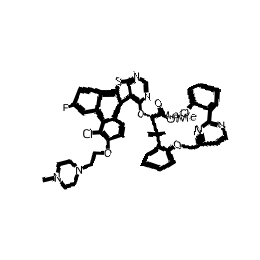 COC(=O)[C@H](Oc1ncnc2sc3c4ccc(F)cc4c4c(Cl)c(OCCN5CCN(C)CC5)ccc4c3c12)C(C)(C)c1ccccc1OCc1ccnc(-c2ccccc2OC)n1